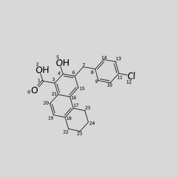 O=C(O)c1c(O)c(Cc2ccc(Cl)cc2)cc2c3c(ccc12)CCCC3